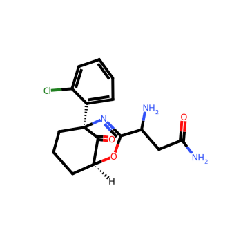 NC(=O)CC(N)C1=N[C@]2(c3ccccc3Cl)CCC[C@H](O1)C2=O